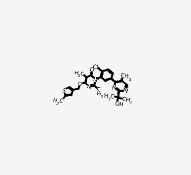 Cc1cc(COc2nc(C)n(-c3cc(-c4nc(C(C)(C)O)ncc4C)ccc3Cl)c(=O)c2C)cs1